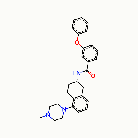 CN1CCN(c2cccc3c2CC[C@H](NC(=O)c2cccc(Oc4ccccc4)c2)C3)CC1